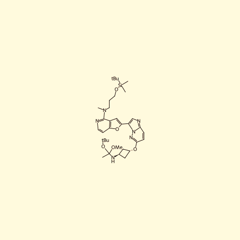 COC(C)(N[C@H]1C[C@H](Oc2ccc3ncc(-c4cc5c(N(C)CCCO[Si](C)(C)C(C)(C)C)nccc5o4)n3n2)C1)OC(C)(C)C